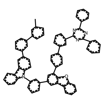 Cc1cccc(-c2cccc(-c3ccc4c(c3)c3ccccc3n4-c3cccc(-c4cc(-c5ccc(-c6cccc(-c7nc(-c8ccccc8)nc(-c8ccccc8)n7)c6)cc5)c5oc6ccccc6c5c4)c3)c2)c1